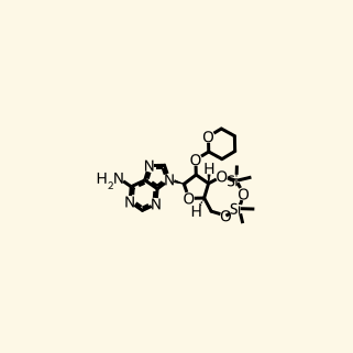 C[Si]1(C)OC[C@H]2O[C@@H](n3cnc4c(N)ncnc43)C(OC3CCCCO3)[C@@H]2O[Si](C)(C)O1